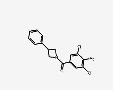 CC(=O)c1c(Cl)cc(C(=O)N2CC(c3ccccc3)C2)cc1Cl